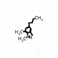 CCCCc1cc(C)c2c(cnn2C)c1